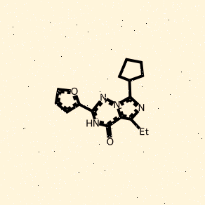 CCc1nc(C2CCCC2)n2nc(-c3ccco3)[nH]c(=O)c12